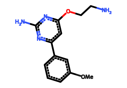 COc1cccc(-c2cc(OCCN)nc(N)n2)c1